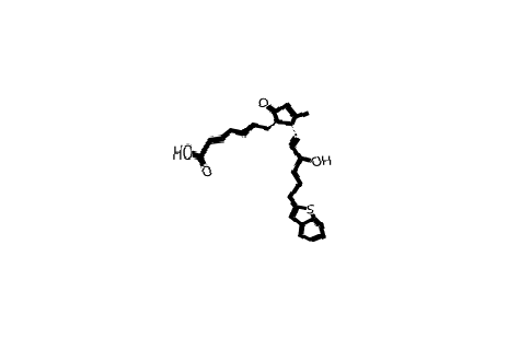 CC1=CC(=O)[C@H](CC=CCCCC(=O)O)[C@H]1C=CC(O)CCCc1cc2ccccc2s1